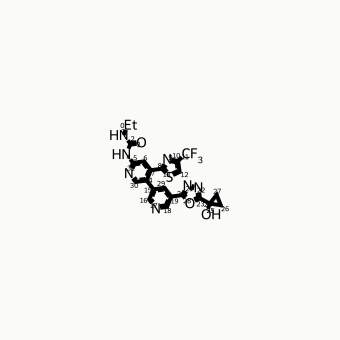 CCNC(=O)Nc1cc(-c2nc(C(F)(F)F)cs2)c(-c2cncc(-c3nnc(C4(O)CC4)o3)c2)cn1